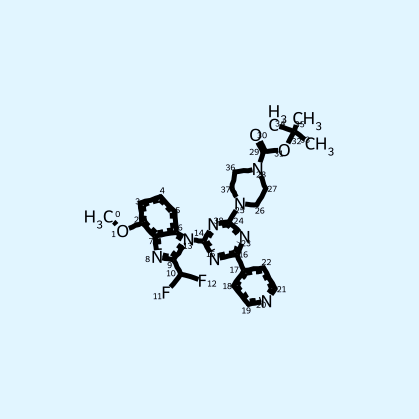 COc1cccc2c1nc(C(F)F)n2-c1nc(-c2ccncc2)nc(N2CCN(C(=O)OC(C)(C)C)CC2)n1